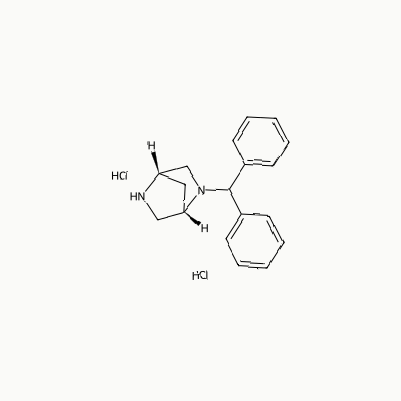 Cl.Cl.c1ccc(C(c2ccccc2)N2C[C@@H]3C[C@H]2CN3)cc1